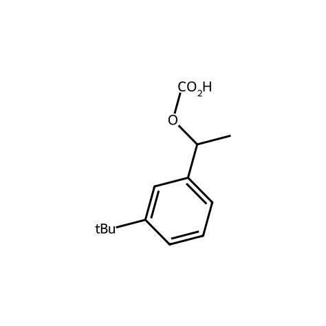 CC(OC(=O)O)c1cccc(C(C)(C)C)c1